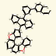 C/C=C\c1cc(-c2cccc(-c3c4ccccc4c(-c4ccc5c(c4)oc4ccc6ccc7oc8ccccc8c7c6c45)c4ccccc34)c2)ccc1C